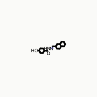 O=C(N/N=C/c1ccc2ccccc2c1)c1ccc(O)cc1